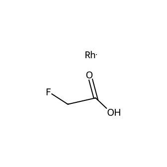 O=C(O)CF.[Rh]